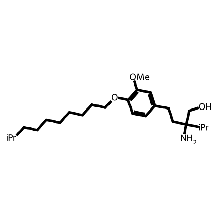 COc1cc(CCC(N)(CO)C(C)C)ccc1OCCCCCCCCC(C)C